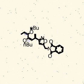 C=C(/C=C(OCCCC)\C(=C/C)OCCCC)c1cc(CN2C(=O)c3ccccc3C2=O)on1